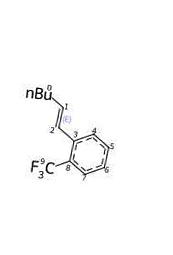 [CH2]CCC/C=C/c1ccccc1C(F)(F)F